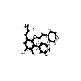 Cc1c(Cl)cc(CCN)c(OCCN2CCOCC2)c1-c1ccncc1